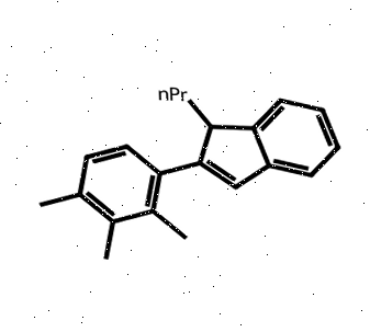 CCC[C]1C(c2ccc(C)c(C)c2C)=Cc2ccccc21